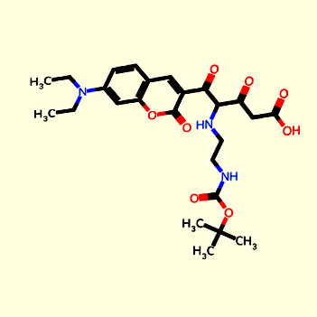 CCN(CC)c1ccc2cc(C(=O)C(NCCNC(=O)OC(C)(C)C)C(=O)CC(=O)O)c(=O)oc2c1